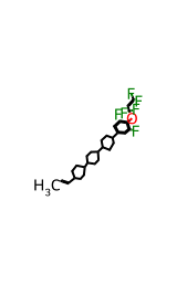 C/C=C/C1CCC(C2CCC(C3CCC(c4cc(F)c(OC(F)(F)C=C(F)F)c(F)c4)CC3)CC2)CC1